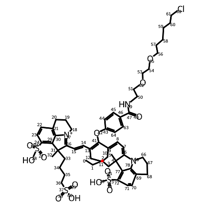 CCCCC1(C)/C(=C\C=C2/CCCC(/C=C/C3=[N+]4CCCc5ccc(S(=O)(=O)O)c(c54)C3(C)CCCCS(=O)(=O)O)=C2Oc2ccc(C(=O)NCCOCCOCCCCCCCl)cc2)N2CCCc3ccc(S(=O)(=O)O)c1c32